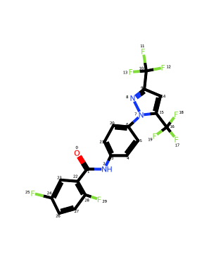 O=C(Nc1ccc(-n2nc(C(F)(F)F)cc2C(F)(F)F)cc1)c1cc(F)ccc1F